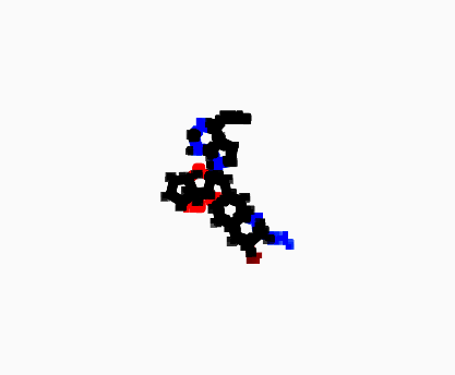 CNc1ncnc2c1ccn2C1(Cc2ccc3cc(Br)c(N)nc3c2)OC2CCCC2(O)C1O